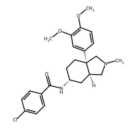 COc1ccc([C@@]23CC[C@@H](NC(=O)c4ccc(Cl)cc4)C[C@@H]2CN(C)C3)cc1OC